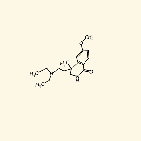 CCN(CC)CCC1(C)CNC(=O)c2ccc(OC)cc21